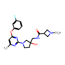 O=C(NCC1(O)CCN(c2nc(Oc3cccc(F)c3)cc(C(F)(F)F)n2)C1)C1CN(C(=O)O)C1